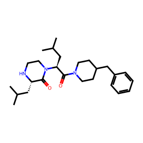 CC(C)C[C@@H]1NCCN([C@@H](CC(C)C)C(=O)N2CCC(Cc3ccccc3)CC2)C1=O